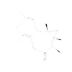 O=C1Nc2c(F)cc(F)cc2[C@@H]2C[C@@H]2[C@H]1I